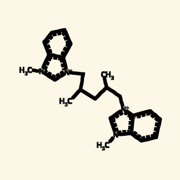 CC(CC(C)C[n+]1cn(C)c2ccccc21)C[n+]1cn(C)c2ccccc21